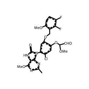 COc1ccc(F)c(F)c1COc1cc(-n2c(=O)[nH]c3c(OC)nc(C)nc32)c(Cl)cc1OC(C=O)OC